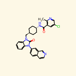 Cc1ncc(Cl)cc1C(=O)N[C@H]1CC[C@H](Cn2c(=O)n(-c3ccc4ccncc4c3)c3ccccc32)CC1